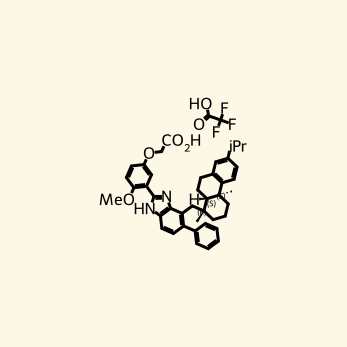 COc1ccc(OCC(=O)O)cc1-c1nc2c(C[C@@]3(C)CCC[C@]4(C)c5ccc(C(C)C)cc5CC[C@@H]34)c(-c3ccccc3)ccc2[nH]1.O=C(O)C(F)(F)F